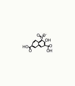 O=C(O)c1ccc2c([N+](=O)[O-])c(O)c(C(=O)O)cc2c1